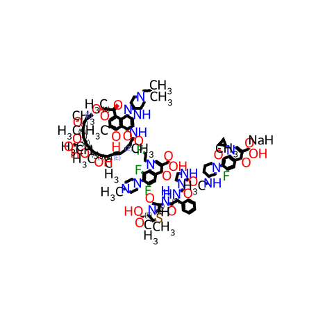 CC1(C)S[C@@H]2[C@H](NC(=O)[C@@H](NC(=O)N3CCNC3=O)c3ccccc3)C(=O)N2[C@H]1C(=O)O.CN1CCN(c2c(F)cc3c(=O)c(C(=O)O)cn(CCF)c3c2F)CC1.CNC1CCCN(c2c(F)cc3c(=O)c(C(=O)O)cn(C4CC4)c3c2OC)C1.CO[C@H]1/C=C/O[C@@]2(C)Oc3c(C)c(O)c4c(c3C2=O)C2=NC3(CCN(CC(C)C)CC3)NC2=C(NC(=O)/C(C)=C\C=C\[C@H](C)[C@H](O)[C@@H](C)[C@@H](O)[C@@H](C)[C@H](OC(C)=O)[C@@H]1C)C4=O.[NaH]